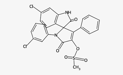 CS(=O)(=O)OC1=C(c2ccccc2)C2(C(=O)Nc3cc(Cl)ccc32)N(c2cccc(Cl)c2)C1=O